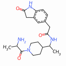 CC(N)C(=O)N1CCC(C(C)NC(=O)Cc2ccc3c(c2)CC(=O)N3)CC1